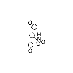 COc1cccc(-c2cccc([C@H]3NC(=O)O[C@@H]3c3cccc(OC)c3)c2)c1